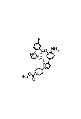 C[C@@H](Oc1nc(-c2ccn(C3CCN(C(=O)OC(C)(C)C)CC3)n2)cnc1N)c1cc(F)ccc1-n1nccn1